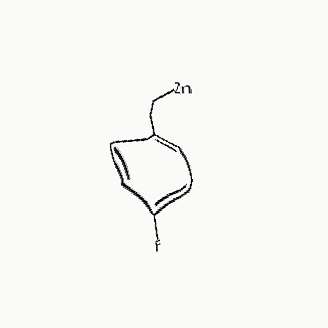 Fc1ccc([CH2][Zn])cc1